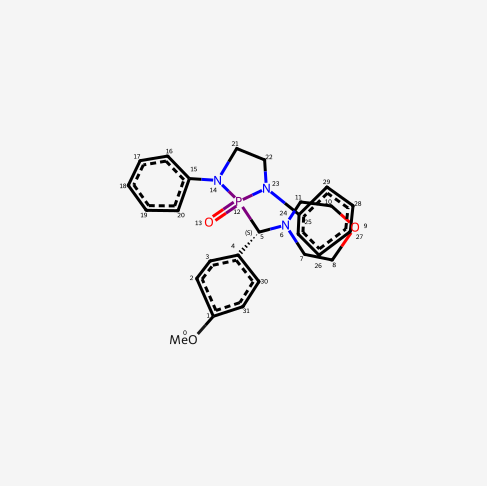 COc1ccc([C@@H](N2CCOCC2)P2(=O)N(c3ccccc3)CCN2c2ccccc2)cc1